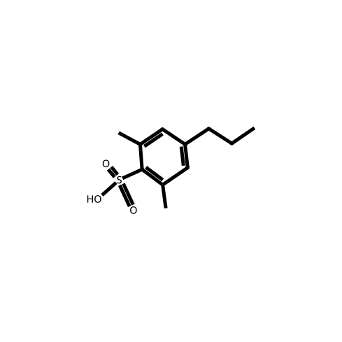 CCCc1cc(C)c(S(=O)(=O)O)c(C)c1